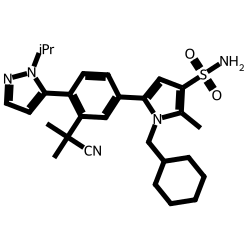 Cc1c(S(N)(=O)=O)cc(-c2ccc(-c3ccnn3C(C)C)c(C(C)(C)C#N)c2)n1CC1CCCCC1